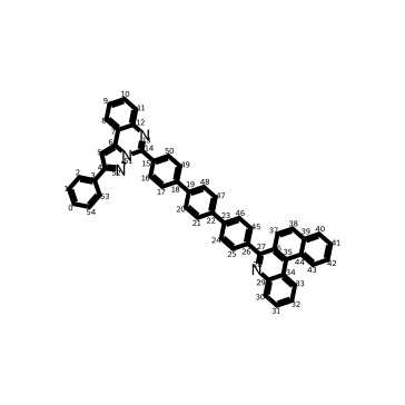 c1ccc(-c2cc3c4ccccc4nc(-c4ccc(-c5ccc(-c6ccc(-c7nc8ccccc8c8c7ccc7ccccc78)cc6)cc5)cc4)n3n2)cc1